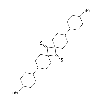 CCCC1CCC(C2CCC3(CC2)C(=S)C2(CCC(C4CCC(CCC)CC4)CC2)C3=S)CC1